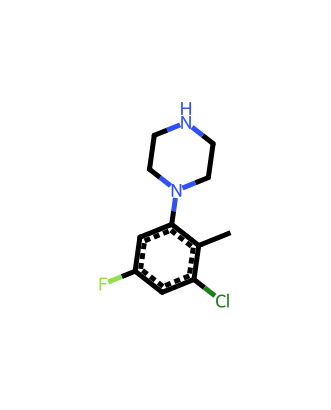 Cc1c(Cl)cc(F)cc1N1CCNCC1